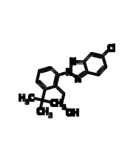 CC(C)(C)c1cccc(-n2nc3ccc(Cl)cc3n2)c1CCO